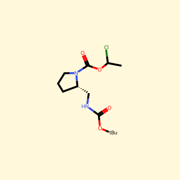 CC(Cl)OC(=O)N1CCC[C@H]1CNC(=O)OC(C)(C)C